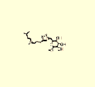 COC1OC(Cn2cc(CCCN(C)CCC(C)C)nn2)C(O)C(O)C1O